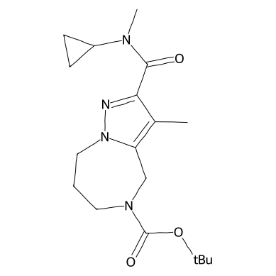 Cc1c(C(=O)N(C)C2CC2)nn2c1CN(C(=O)OC(C)(C)C)CCC2